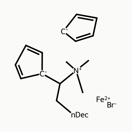 CCCCCCCCCCCC([c-]1cccc1)[N+](C)(C)C.[Br-].[Fe+2].c1cc[cH-]c1